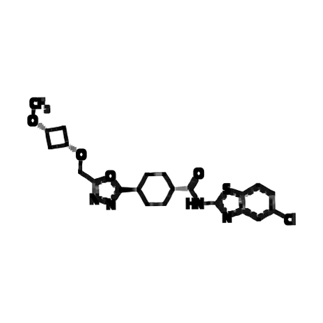 O=C(Nc1nc2cc(Cl)ccc2s1)[C@H]1CC[C@H](c2nnc(CO[C@H]3C[C@@H](OC(F)(F)F)C3)o2)CC1